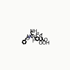 CCn1cc(C(=O)O)c(=O)c2cc(F)c(N3C/C(=N\OCc4ccccc4)C(CN)C3)c(F)c21